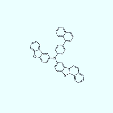 c1ccc2c(-c3ccc(N(c4ccc5oc6ccccc6c5c4)c4ccc5sc6c7ccccc7ccc6c5c4)cc3)cccc2c1